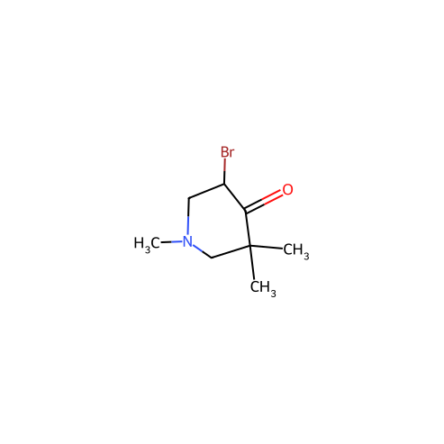 CN1CC(Br)C(=O)C(C)(C)C1